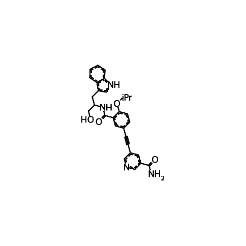 CC(C)Oc1ccc(C#Cc2cncc(C(N)=O)c2)cc1C(=O)NC(CO)Cc1c[nH]c2ccccc12